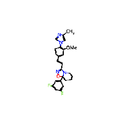 COc1cc(/C=C/C2=NOC3(c4cc(F)cc(F)c4)CCCCN23)ccc1-n1cnc(C)c1